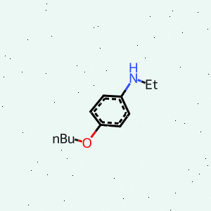 CCCCOc1ccc(NCC)cc1